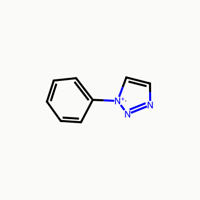 C1=C[N+](c2ccccc2)N=N1